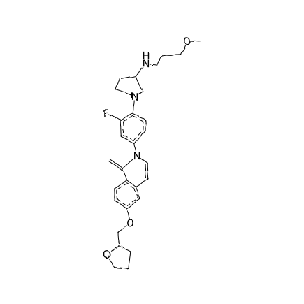 C=C1c2ccc(OCC3CCCO3)cc2C=CN1c1ccc(N2CCC(NCCCOC)C2)c(F)c1